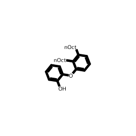 CCCCCCCCc1cccc(Oc2ccccc2O)c1CCCCCCCC